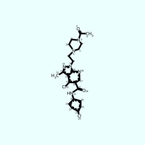 CC(=O)N1CCN(CCn2nc(C)c3c(Cl)c(C(=O)Nc4ccc(Cl)cc4)cnc32)CC1